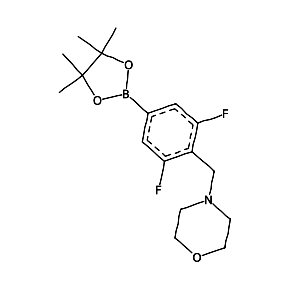 CC1(C)OB(c2cc(F)c(CN3CCOCC3)c(F)c2)OC1(C)C